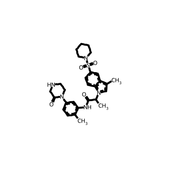 Cc1ccc(N2CCNCC2=O)cc1NC(=O)C(C)n1cc(C)c2cc(S(=O)(=O)N3CCCCC3)ccc21